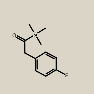 C[Si](C)(C)C(=O)Cc1ccc(F)cc1